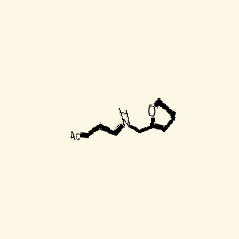 CC(=O)CCCNCC1=CCCO1